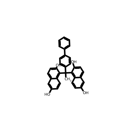 CC(c1ccc(-c2ccccc2)cc1)(c1c(O)ccc2cc(O)ccc12)c1c(O)ccc2cc(O)ccc12